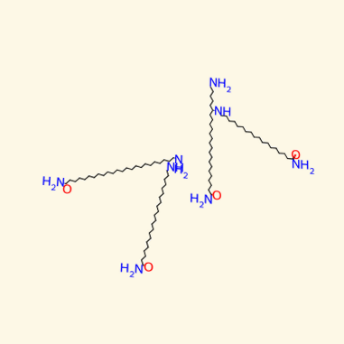 NCC(CCCCCCCCCCCCCCCCCCCCCC(N)=O)NCCCCCCCCCCCCCCCCCCCCCC(N)=O.NCCCCCC(CCCCCCCCCCCCCCCCCC(N)=O)NCCCCCCCCCCCCCCCCCC(N)=O